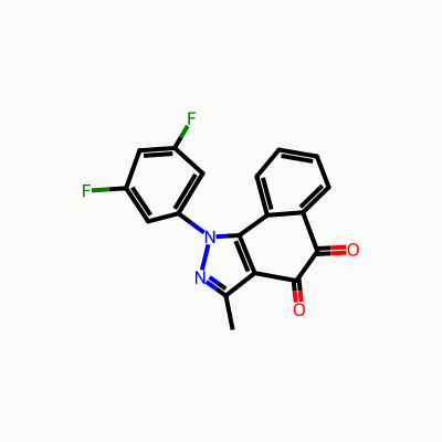 Cc1nn(-c2cc(F)cc(F)c2)c2c1C(=O)C(=O)c1ccccc1-2